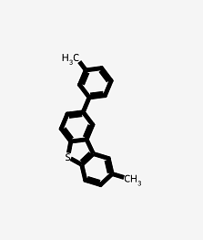 Cc1cccc(-c2ccc3sc4ccc(C)cc4c3c2)c1